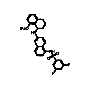 COc1cccc2c1C(Nc1ccc3c(NS(=O)(=O)c4cc(F)cc(F)c4)cccc3n1)CCC2